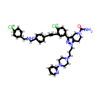 NC(=O)N1CCc2c(c(-c3ccc(Cl)c(C#Cc4ccc(CNCc5ccc(Cl)cc5)cc4)c3)nn2CCCN2CCN(c3ccccn3)CC2)C1